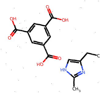 CCc1c[nH]c(C)n1.O=C(O)c1cc(C(=O)O)cc(C(=O)O)c1